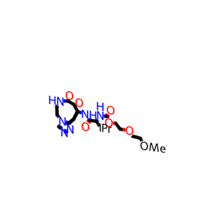 COCCOCCOC(=O)NC(C(=O)NC1Cc2nncn2CCNC(=O)C1=O)C(C)C